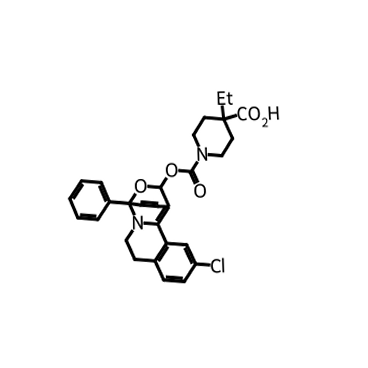 CCC1(C(=O)O)CCN(C(=O)OC2OC3(c4ccccc4)C=CC2=C2c4cc(Cl)ccc4CCN23)CC1